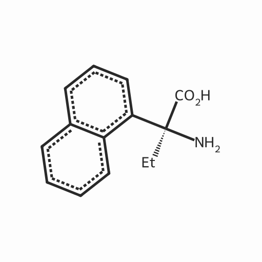 CC[C@@](N)(C(=O)O)c1cccc2ccccc12